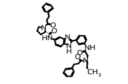 CCCN(CC(=O)Nc1cccc(-c2nc3cc(NC(=O)[C@@H]4CCCN4C(=O)CCc4ccccc4)ccc3[nH]2)c1)C(=O)CCc1ccccc1